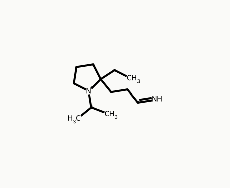 CCC1(CCC=N)CCCN1C(C)C